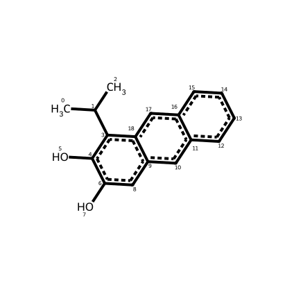 CC(C)c1c(O)c(O)cc2cc3ccccc3cc12